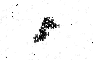 c1cc(-c2nc(N3CCNCC3)c3c(C4CC4)cncc3n2)cc(Nc2cnn(C3CCCC3)c2)n1